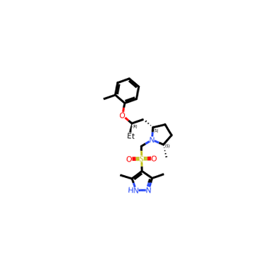 CC[C@H](C[C@@H]1CC[C@H](C)N1CS(=O)(=O)c1c(C)n[nH]c1C)Oc1ccccc1C